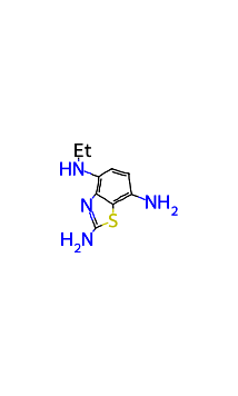 CCNc1ccc(N)c2sc(N)nc12